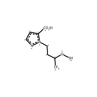 CCOC(=O)c1ccnn1CCC(OS)C(F)(F)F